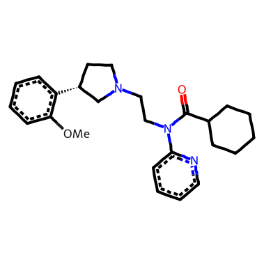 COc1ccccc1[C@@H]1CCN(CCN(C(=O)C2CCCCC2)c2ccccn2)C1